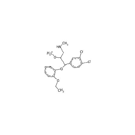 CCOc1ccccc1OC(c1ccc(Cl)c(Cl)c1)C(CNC)OC